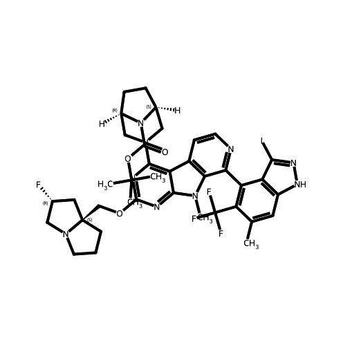 Cc1cc2[nH]nc(I)c2c(-c2nccc3c4c(N5C[C@H]6CC[C@@H](C5)N6C(=O)OC(C)(C)C)nc(OC[C@@]56CCCN5C[C@H](F)C6)nc4n(C)c23)c1C(F)(F)F